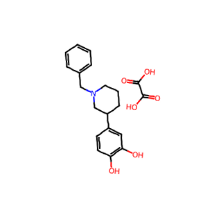 O=C(O)C(=O)O.Oc1ccc(C2CCCN(Cc3ccccc3)C2)cc1O